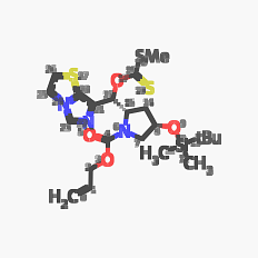 C=CCOC(=O)N1C[C@H](O[Si](C)(C)C(C)(C)C)C[C@H]1C(OC(=S)SC)c1ncn2ccsc12